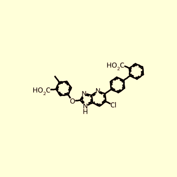 Cc1ccc(Oc2nc3nc(-c4ccc(-c5ccccc5C(=O)O)cc4)c(Cl)cc3[nH]2)cc1C(=O)O